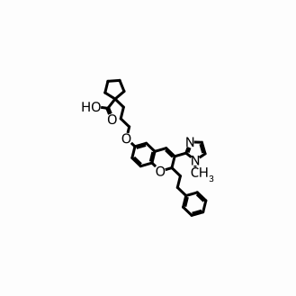 Cn1ccnc1C1=Cc2cc(OCCCC3(C(=O)O)CCCC3)ccc2OC1CCc1ccccc1